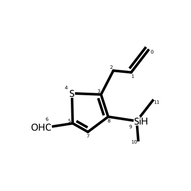 C=CCc1sc(C=O)cc1[SiH](C)C